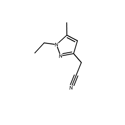 CCn1nc(CC#N)cc1C